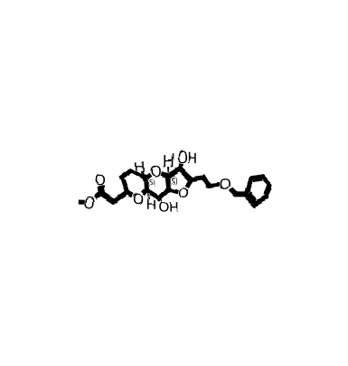 COC(=O)CC1CC[C@@H]2O[C@H]3C(O)C(CCOCc4ccccc4)OC3C(O)[C@H]2O1